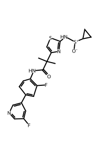 CC(C)(C(=O)Nc1ccc(-c2cncc(F)c2)cc1F)c1csc(N[S+]([O-])C2CC2)n1